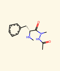 CN[C@H](Cc1ccccc1)C(=O)N(C)NC(C)=O